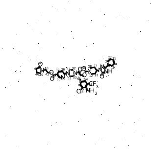 Nc1c(Cl)cc(C[C@@H](OC(=O)N2CCC(n3nc(-c4ccccc4)[nH]c3=O)CC2)C(=O)N2CCN(c3ccc(C(=O)OCCN4CCCC4=O)cn3)CC2)cc1C(F)(F)F